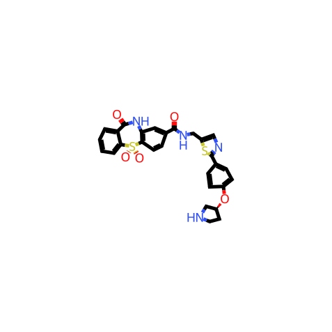 O=C(NCc1cnc(-c2ccc(O[C@H]3CCNC3)cc2)s1)c1ccc2c(c1)NC(=O)c1ccccc1S2(=O)=O